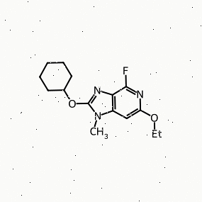 CCOc1cc2c(nc(OC3CCCCC3)n2C)c(F)n1